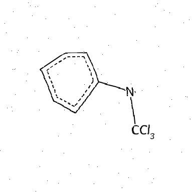 ClC(Cl)(Cl)[N]c1ccccc1